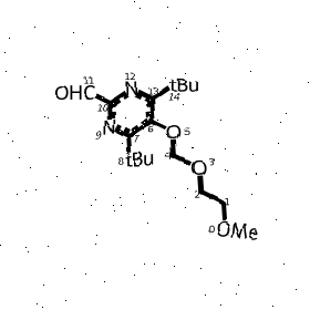 COCCOCOc1c(C(C)(C)C)nc(C=O)nc1C(C)(C)C